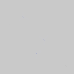 CCN(CCN(C)c1cc(C#N)ccn1)C(=O)O